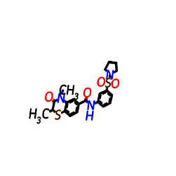 CC1Sc2ccc(C(=O)Nc3cccc(S(=O)(=O)N4CCCC4)c3)cc2N(C)C1=O